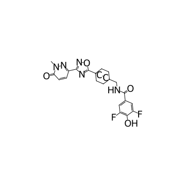 Cn1nc(-c2noc(C34CCC(CNC(=O)c5cc(F)c(O)c(F)c5)(CC3)CC4)n2)ccc1=O